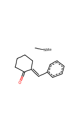 CNC.O=C1CCCCC1=Cc1ccccc1